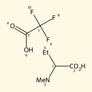 CCC(NC)C(=O)O.O=C(O)C(F)(F)F